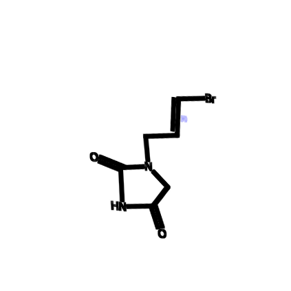 O=C1CN(C/C=C/Br)C(=O)N1